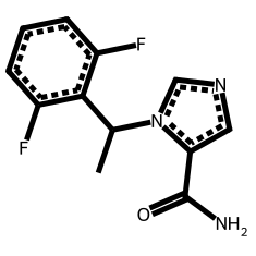 CC(c1c(F)cccc1F)n1cncc1C(N)=O